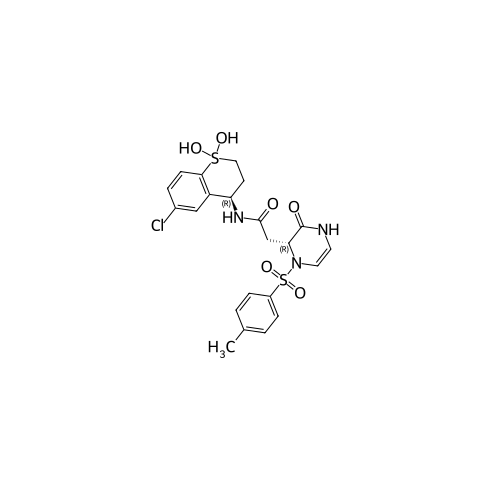 Cc1ccc(S(=O)(=O)N2C=CNC(=O)[C@H]2CC(=O)N[C@@H]2CCS(O)(O)c3ccc(Cl)cc32)cc1